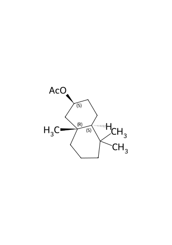 CC(=O)O[C@H]1CC[C@H]2C(C)(C)CCC[C@]2(C)C1